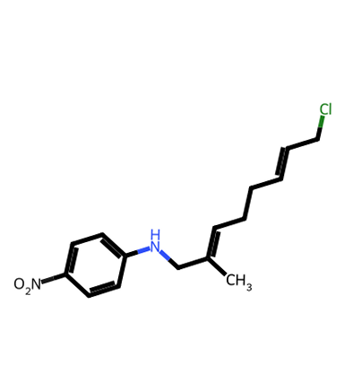 CC(=CCCC=CCCl)CNc1ccc([N+](=O)[O-])cc1